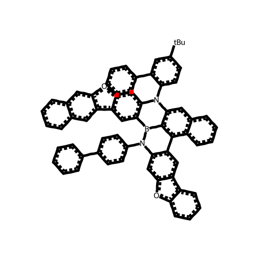 CC(C)(C)c1ccc(N2c3cc4oc5cc6ccccc6cc5c4cc3B3c4c2cc2ccccc2c4-c2cc4c(cc2N3c2ccc(-c3ccccc3)cc2)oc2ccccc24)c(-c2ccccc2)c1